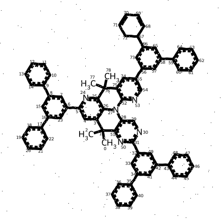 CC1(C)c2cc(-c3cc(-c4ccccc4)cc(-c4ccccc4)c3)nc3c2N(c2cnc(-c4cc(-c5ccccc5)cc(-c5ccccc5)c4)nc21)c1ncc(-c2cc(-c4ccccc4)cc(C4C=CC=CC4)c2)cc1C3(C)C